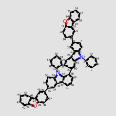 c1ccc(-n2c3ccc(-c4ccc5oc6ccccc6c5c4)cc3c3ccc(-c4cccc5c6cc(-c7ccc8oc9ccccc9c8c7)ccc6n(-c6ccccc6)c45)cc32)cc1